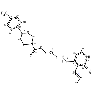 C/C=N/c1c(NCCOCCC(=O)N2CCN(c3ncc(C(F)(F)F)cn3)CC2)cn[nH]c1=O